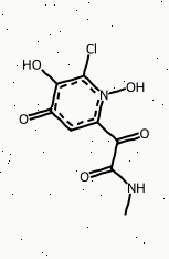 CNC(=O)C(=O)c1cc(=O)c(O)c(Cl)n1O